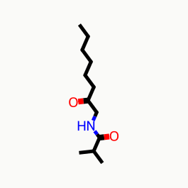 CCCCCCC(=O)CNC(=O)C(C)C